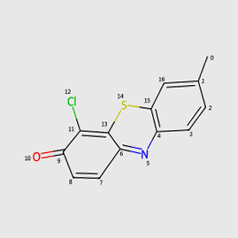 Cc1ccc2nc3ccc(=O)c(Cl)c-3sc2c1